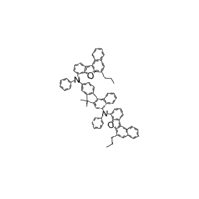 CCCc1cc2ccccc2c2c1oc1c(N(c3ccccc3)c3ccc4c(c3)C(C)(C)c3cc(N(c5ccccc5)c5cccc6c5oc5c(CCC)cc7ccccc7c56)c5ccccc5c3-4)cccc12